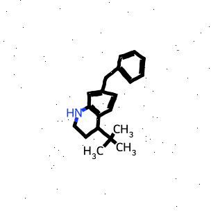 CC(C)(C)C1CCNc2cc(Cc3ccccc3)ccc21